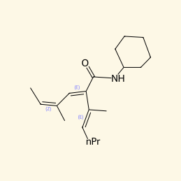 C\C=C(C)/C=C(C(=O)NC1CCCCC1)\C(C)=C\CCC